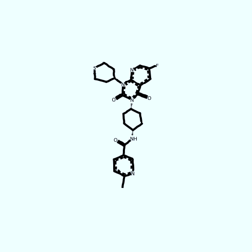 Cc1ccc(C(=O)N[C@H]2CC[C@@H](n3c(=O)c4cc(F)cnc4n(C4CCSCC4)c3=O)CC2)cn1